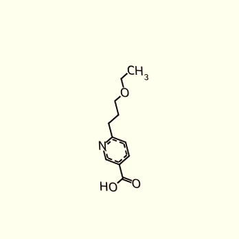 CCOCCCc1ccc(C(=O)O)cn1